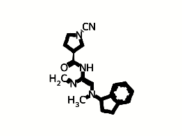 C=N/C(=C\N(C)C1CCc2ccccc21)NC(=O)[C@H]1CCN(C#N)C1